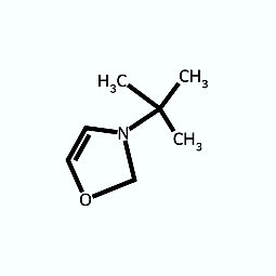 CC(C)(C)N1C=COC1